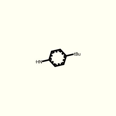 CC(C)(C)c1ccc([NH])cc1